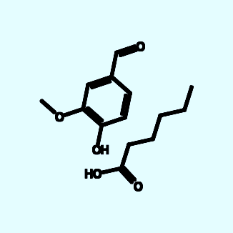 CCCCCC(=O)O.COc1cc(C=O)ccc1O